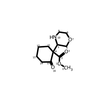 COC(=O)C1(C2COCCN2)CCCCC1=O